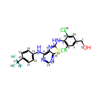 OCc1cc(Cl)c(Nc2nc3c(Nc4ccc(C(F)(F)F)cc4)ncnc3s2)c(Cl)c1